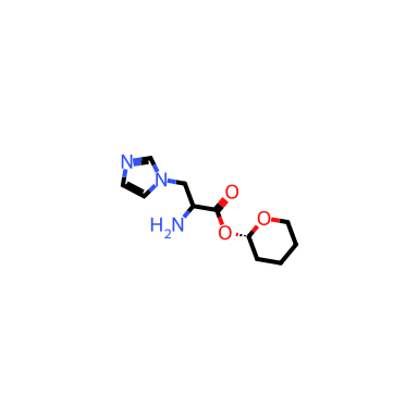 NC(Cn1ccnc1)C(=O)O[C@H]1CCCCO1